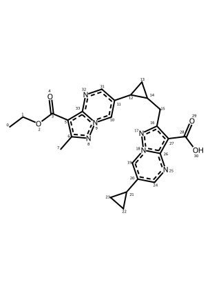 CCOC(=O)c1c(C)nn2cc(C3CC3Cc3nn4cc(C5CC5)cnc4c3C(=O)O)cnc12